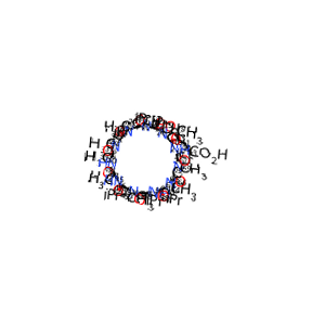 CC[C@@H]1NC(=O)C([C@H](O)[C@H](C)CCCC(=O)O)N(C)C(=O)[C@H](C(C)C)N(C)C(=O)[C@H](CC(C)C)N(C)C(=O)[C@H](CC(C)C)N(C)C(=O)[C@H](C)NC(=O)[C@H](C)NC(=O)[C@H](CC(C)C)N(C)C(=O)[C@H](C(C)C)NC(=O)[C@H](CC(C)C)N(C)C(=O)CN(C)C1=O